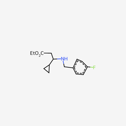 CCOC(=O)CC(NCc1ccc(F)cc1)C1CC1